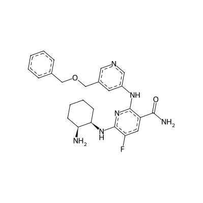 NC(=O)c1cc(F)c(N[C@@H]2CCCC[C@@H]2N)nc1Nc1cncc(COCc2ccccc2)c1